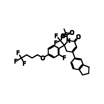 CS(=O)(=O)N1C(=O)C=C(c2ccc3c(c2)CCC3)CC1(c1ccc(OCCCC(F)(F)F)cc1F)C(F)(F)F